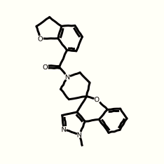 Cn1ncc2c1-c1ccccc1OC21CCN(C(=O)c2cccc3c2OCC3)CC1